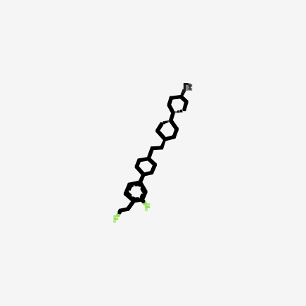 CC[C@H]1CC[C@H]([C@H]2CC[C@H](CCC3CCC(c4ccc(CCF)c(F)c4)CC3)CC2)CC1